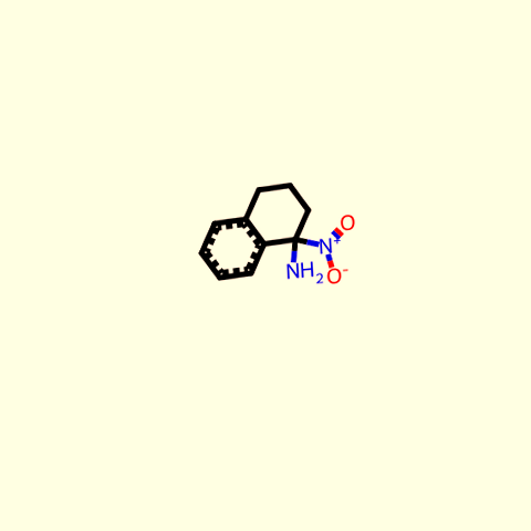 NC1([N+](=O)[O-])CCCc2ccccc21